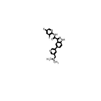 CN(C)Cc1cncc(-c2ccc3[nH]nc(C(=O)Nc4ncc(F)cc4F)c3c2)c1